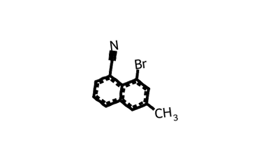 Cc1cc(Br)c2c(C#N)cccc2c1